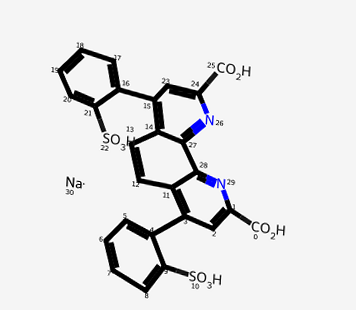 O=C(O)c1cc(-c2ccccc2S(=O)(=O)O)c2ccc3c(-c4ccccc4S(=O)(=O)O)cc(C(=O)O)nc3c2n1.[Na]